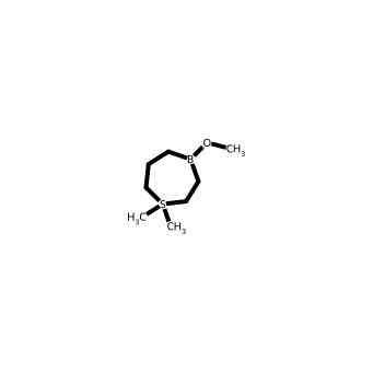 COB1CCCS(C)(C)CC1